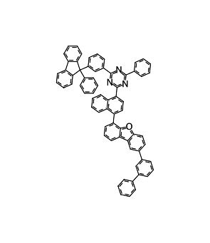 c1ccc(-c2cccc(-c3ccc4oc5c(-c6ccc(-c7nc(-c8ccccc8)nc(-c8cccc(C9(c%10ccccc%10)c%10ccccc%10-c%10ccccc%109)c8)n7)c7ccccc67)cccc5c4c3)c2)cc1